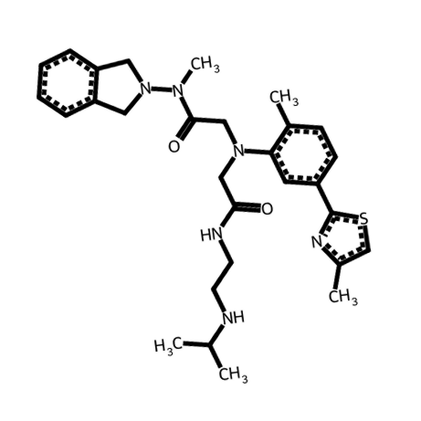 Cc1csc(-c2ccc(C)c(N(CC(=O)NCCNC(C)C)CC(=O)N(C)N3Cc4ccccc4C3)c2)n1